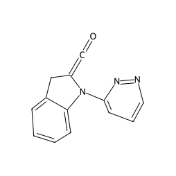 O=C=C1Cc2ccccc2N1c1cccnn1